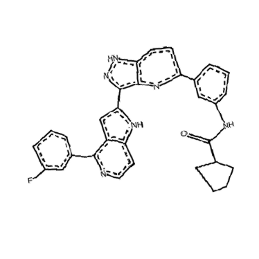 O=C(Nc1cccc(-c2ccc3[nH]nc(-c4cc5c(-c6cccc(F)c6)nccc5[nH]4)c3n2)c1)C1CCCC1